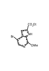 CCOC(=O)c1cc2c(Br)cnc(OC)c2[nH]1